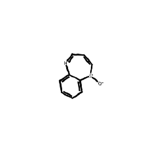 [O-][S+]1C=CC=Nc2ccccc21